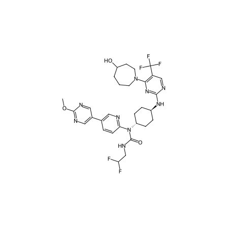 COc1ncc(-c2ccc(N(C(=O)NCC(F)F)[C@H]3CC[C@H](Nc4ncc(C(F)(F)F)c(N5CCCC(O)CC5)n4)CC3)nc2)cn1